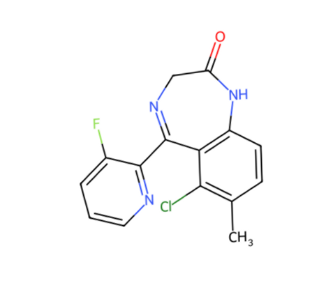 Cc1ccc2c(c1Cl)C(c1ncccc1F)=NCC(=O)N2